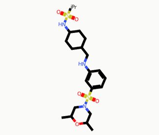 CC1CN(S(=O)(=O)c2cccc(NCC3CCC(NS(=O)(=O)C(C)C)CC3)c2)CC(C)O1